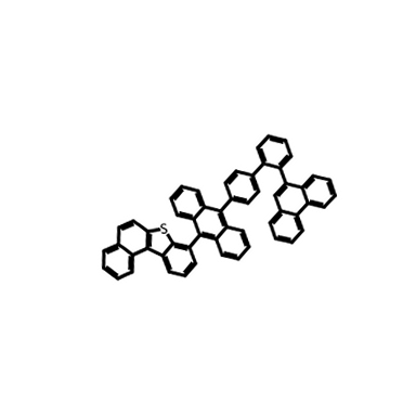 c1ccc(-c2cc3ccccc3c3ccccc23)c(-c2ccc(-c3c4ccccc4c(-c4cccc5c4sc4ccc6ccccc6c45)c4ccccc34)cc2)c1